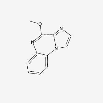 COc1nc2ccccc2n2ccnc12